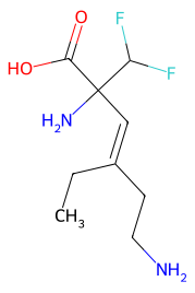 CC/C(=C\C(N)(C(=O)O)C(F)F)CCN